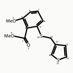 COC(=O)c1c(OC)cccc1SCc1ccsc1